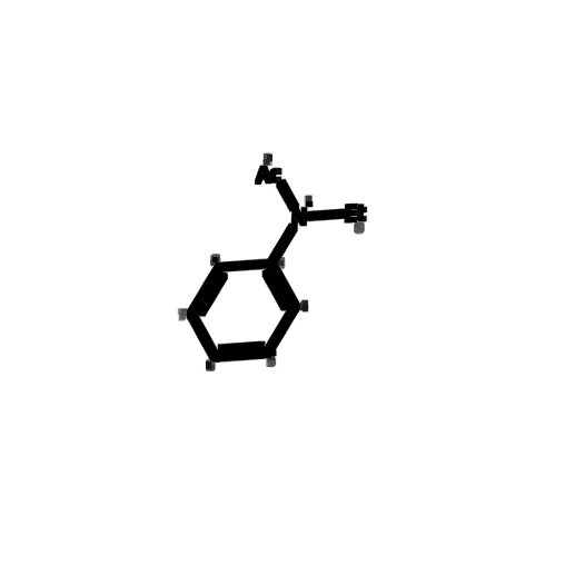 CCN(C(C)=O)c1c[c]ccc1